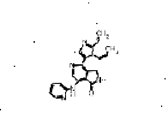 C=Cc1ncc(-c2ncc(Nc3ccccn3)c3c2CNC3=O)n1/C=C\C